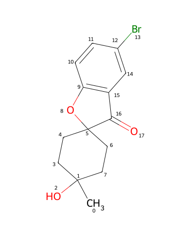 CC1(O)CCC2(CC1)Oc1ccc(Br)cc1C2=O